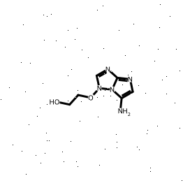 Nc1cnc2ncn(OCCO)n12